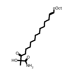 CCCCCCCCC=CCCCCCCCCCCCC(=O)C(C)(O)C(N)=O